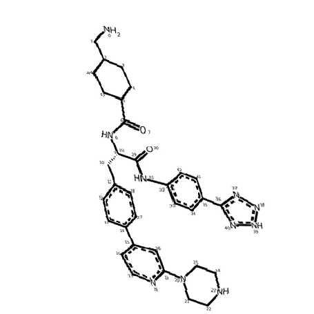 NCC1CCC(C(=O)N[C@@H](Cc2ccc(-c3ccnc(N4CCNCC4)c3)cc2)C(=O)Nc2ccc(-c3nn[nH]n3)cc2)CC1